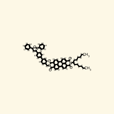 CCCCCCC(CCCCCC)N1C(=O)c2ccc3c4ccc5c6c(ccc(c7ccc(c2c37)C1=O)c64)C(=O)N(Cc1ccc(-c2ccc(C3CC(c4ccccc4)ON3c3ccccc3)cc2)cc1)C5=O